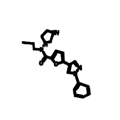 CCCN(C(=O)c1ccc(-c2cnn(-c3ccccc3)c2)o1)[C@@H]1CCNC1